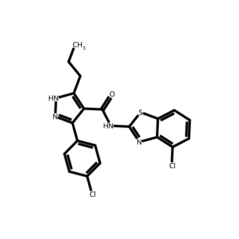 CCCc1[nH]nc(-c2ccc(Cl)cc2)c1C(=O)Nc1nc2c(Cl)cccc2s1